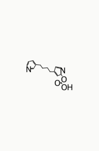 O=C(O)Oc1cc(CCCCc2cccnc2)ccn1